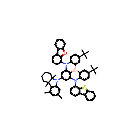 Cc1cc(C)c2c(c1)N(c1cc3c4c(c1)N(c1cccc5c1sc1ccccc15)c1ccc(C(C)(C)C)cc1B4c1cc(C(C)(C)C)ccc1N3c1cccc3c1oc1ccccc13)C1(C)CCCCC21C